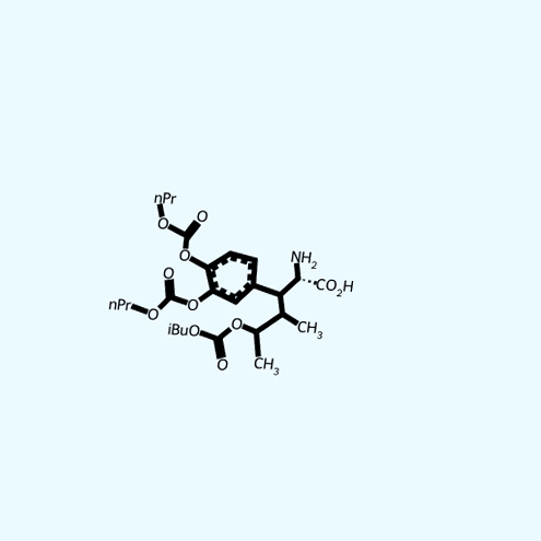 CCCOC(=O)Oc1ccc(C(C(C)C(C)OC(=O)OCC(C)C)[C@H](N)C(=O)O)cc1OC(=O)OCCC